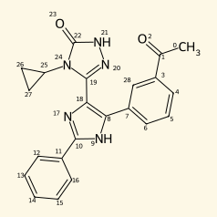 CC(=O)c1cccc(-c2[nH]c(-c3ccccc3)nc2-c2n[nH]c(=O)n2C2CC2)c1